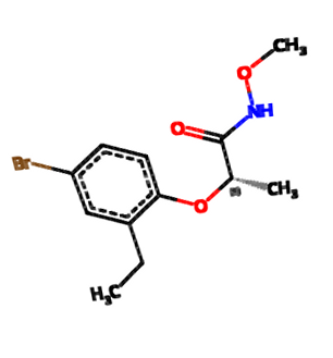 CCc1cc(Br)ccc1O[C@@H](C)C(=O)NOC